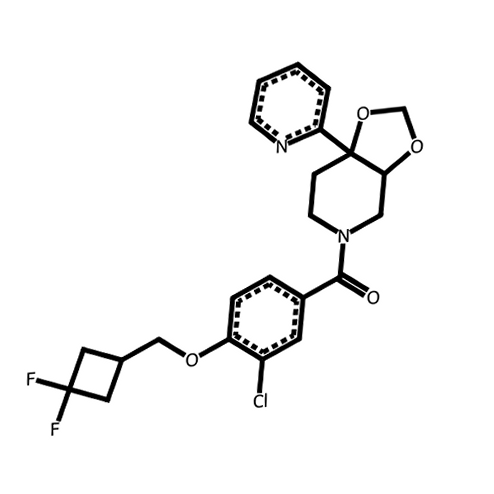 O=C(c1ccc(OCC2CC(F)(F)C2)c(Cl)c1)N1CCC2(c3ccccn3)OCOC2C1